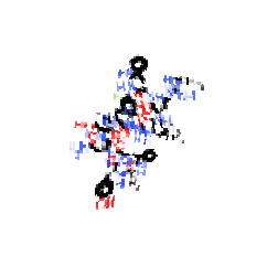 CNC(=N)NCCC[C@H](NC(=O)[C@H](CC(C)C)NC(=O)NNC(=O)[C@H](Cc1ccccc1F)NC(=O)[C@@H](NC(=O)[C@H](CC(N)=O)NC(=O)[C@@H](Cc1c[nH]c2ccccc12)NC(=O)[C@@H](Cc1ccc(O)cc1)NC(C)=O)[C@@H](C)O)C(=O)N[C@@H](Cc1c[nH]c2ccccc12)C(N)=O